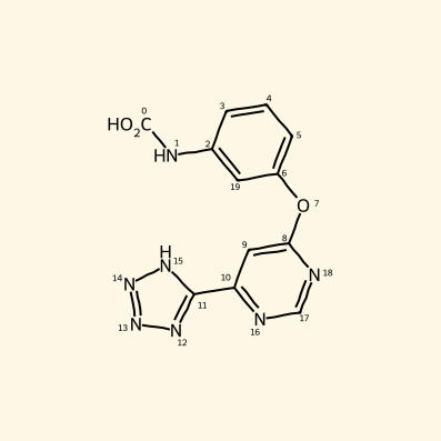 O=C(O)Nc1cccc(Oc2cc(-c3nnn[nH]3)ncn2)c1